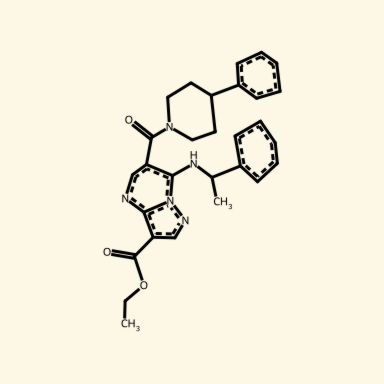 CCOC(=O)c1cnn2c(NC(C)c3ccccc3)c(C(=O)N3CCC(c4ccccc4)CC3)cnc12